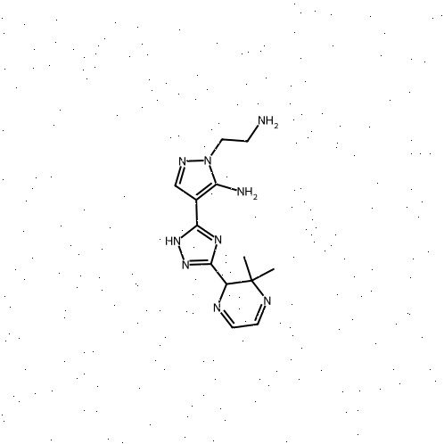 CC1(C)N=CC=NC1c1n[nH]c(-c2cnn(CCN)c2N)n1